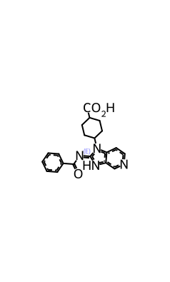 O=C(/N=c1\[nH]c2cnccc2n1C1CCC(C(=O)O)CC1)c1ccccc1